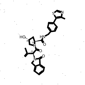 C=C(C)[C@@H](C(=O)N1C[C@H](O)C[C@H]1C(=O)NCc1ccc(-c2scnc2C)cc1)N1Cc2ccccc2C1=O